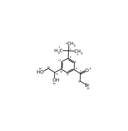 CC(C)(C)c1cc(C(=O)CBr)cc(C(O)CO)c1